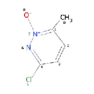 Cc1ccc(Cl)n[n+]1[O-]